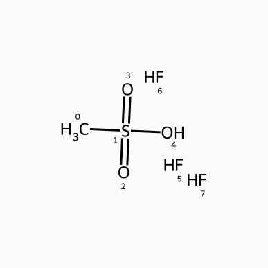 CS(=O)(=O)O.F.F.F